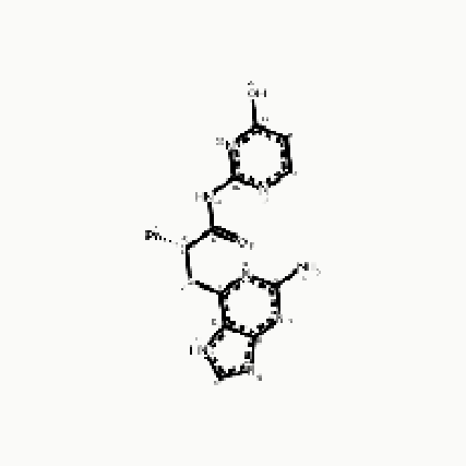 CC(C)[C@@H](Sc1nc(N)nc2nc[nH]c12)C(=O)Nc1nccc(O)n1